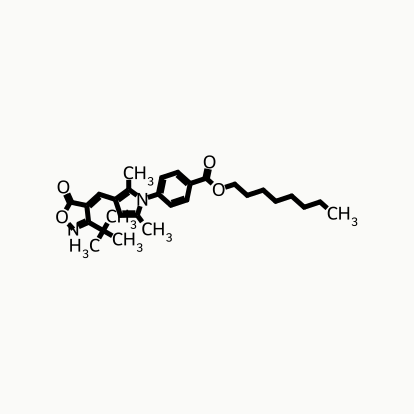 CCCCCCCCOC(=O)c1ccc(-n2c(C)cc(C=C3C(=O)ON=C3C(C)(C)C)c2C)cc1